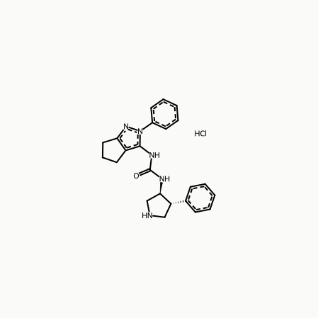 Cl.O=C(Nc1c2c(nn1-c1ccccc1)CCC2)N[C@@H]1CNC[C@H]1c1ccccc1